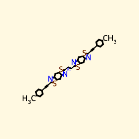 Cc1ccc(C#Cc2nc3cc4sc(/C=C/c5nc6cc7sc(C#Cc8ccc(C)cc8)nc7cc6s5)nc4cc3s2)cc1